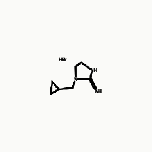 Br.N=C1NCCN1CC1CC1